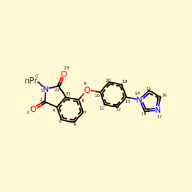 CCCN1C(=O)c2cccc(Oc3ccc(-n4ccnc4)cc3)c2C1=O